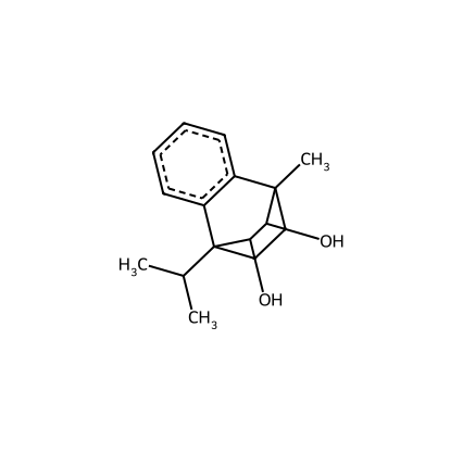 CC(C)C12CCC(C)(c3ccccc31)C(O)C2O